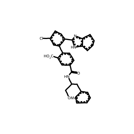 COCC(Cc1ccccc1)NC(=O)c1ccc(-c2cc(Cl)ccc2-c2nc3ccccc3[nH]2)c(C(=O)O)c1